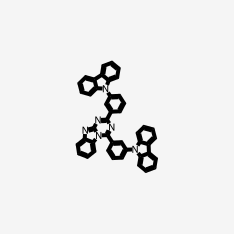 c1cc(-c2nc(-c3cccc(-n4c5ccccc5c5ccccc54)c3)n3c(n2)nc2ccccc23)cc(-n2c3ccccc3c3ccccc32)c1